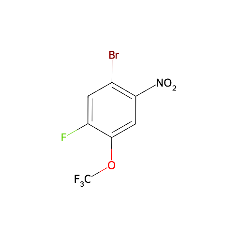 O=[N+]([O-])c1cc(OC(F)(F)F)c(F)cc1Br